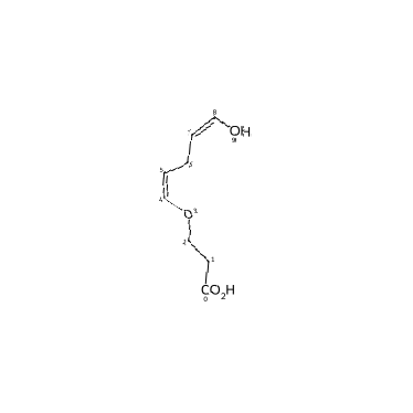 O=C(O)CCO/C=C\C/C=C\O